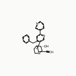 C#CC1N2CCC(CC2)[C@@]1(O)c1cnc(-c2cccnc2)cc1Cc1ccccc1